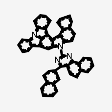 c1ccc2cc(-c3nc(-n4c5ccc6ccccc6c5c5c6c7ccccc7n7c8ccccc8c(cc54)c67)nc4c3ccc3ccccc34)ccc2c1